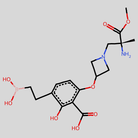 COC(=O)[C@](C)(N)CN1CC(Oc2ccc(CCB(O)O)c(O)c2C(=O)O)C1